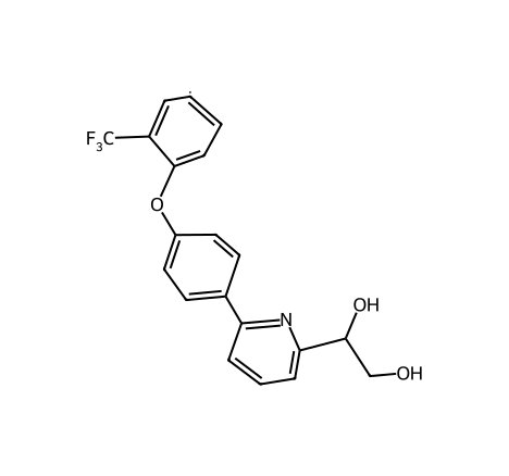 OCC(O)c1cccc(-c2ccc(Oc3cc[c]cc3C(F)(F)F)cc2)n1